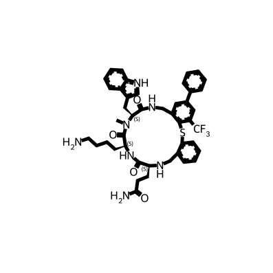 CN1C(=O)[C@H](CCCCN)NC(=O)[C@H](CCC(N)=O)NCc2ccccc2Sc2c(cc(-c3ccccc3)cc2C(F)(F)F)CNC(=O)[C@@H]1Cc1c[nH]c2ccccc12